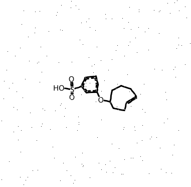 O=S(=O)(O)c1cccc(OC2CC/C=C/CCC2)c1